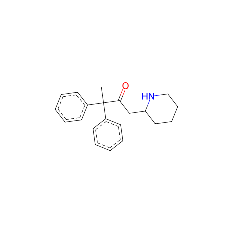 CC(C(=O)CC1CCCCN1)(c1ccccc1)c1ccccc1